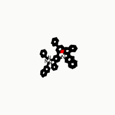 c1ccc(-c2cccc(-c3cc(-c4nc(-c5ccccc5)nc(-c5ccc6ccccc6c5)n4)c(-c4ccccc4)cc3-n3c4cc5ccccc5cc4c4c5ccccc5ccc43)c2)cc1